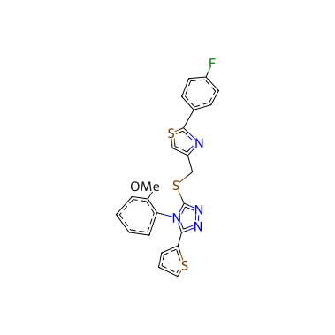 COc1ccccc1-n1c(SCc2csc(-c3ccc(F)cc3)n2)nnc1-c1cccs1